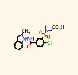 CC1Cc2ccccc2N1NC(=O)c1ccc(Cl)c(S(=O)(=O)NCC(=O)O)c1